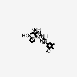 COc1cc(-n2cnc(Nc3nc(N4CCC[C@H]4CO)c4c(C)n[nH]c4n3)c2)cc(C)c1C